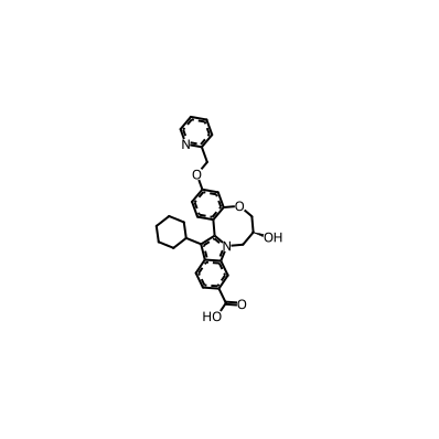 O=C(O)c1ccc2c(C3CCCCC3)c3n(c2c1)C[C@H](O)COc1cc(OCc2ccccn2)ccc1-3